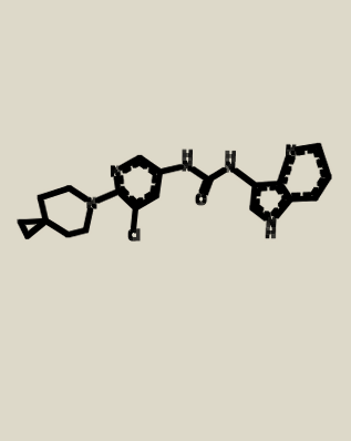 O=C(Nc1cnc(N2CCC3(CC2)CC3)c(Cl)c1)Nc1c[nH]c2cccnc12